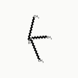 CCCCCCCCCCCCCCCCc1c[nH]c(CCCCCCCCCCCCCCCC)[n+]1CCCCCCCCCCCC